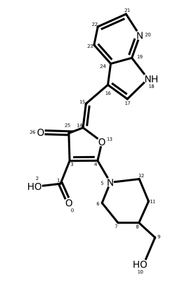 O=C(O)C1=C(N2CCC(CO)CC2)OC(=Cc2c[nH]c3ncccc23)C1=O